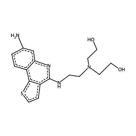 Nc1ccc2c(c1)nc(NCCN(CCO)CCO)c1ccsc12